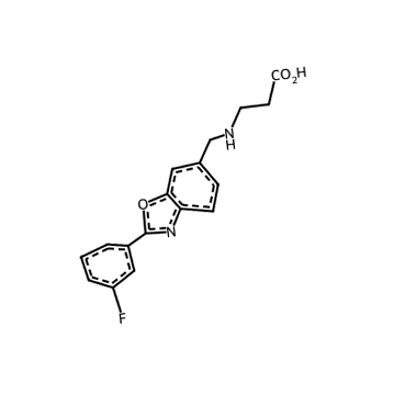 O=C(O)CCNCc1ccc2nc(-c3cccc(F)c3)oc2c1